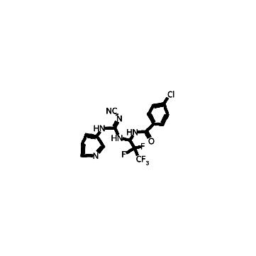 N#C/N=C(\Nc1cccnc1)NC(NC(=O)c1ccc(Cl)cc1)C(F)(F)C(F)(F)F